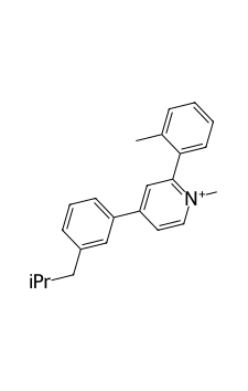 Cc1ccccc1-c1cc(-c2cccc(CC(C)C)c2)cc[n+]1C